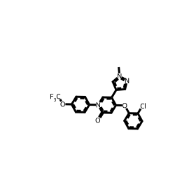 Cn1cc(-c2cn(-c3ccc(OC(F)(F)F)cc3)c(=O)cc2Oc2ccccc2Cl)cn1